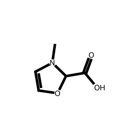 CN1C=COC1C(=O)O